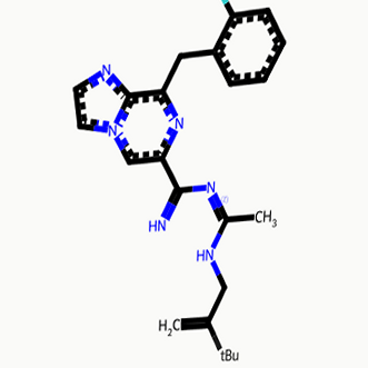 C=C(CN/C(C)=N\C(=N)c1cn2ccnc2c(Cc2ccccc2F)n1)C(C)(C)C